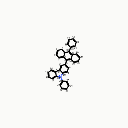 C1=CCC2C(=C1)C(c1ccc3c(c1)c1ccccc1n3-c1ccccc1)=c1ccccc1=C2c1ccccc1